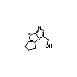 OCc1cnc2sc3c(n12)CCC3